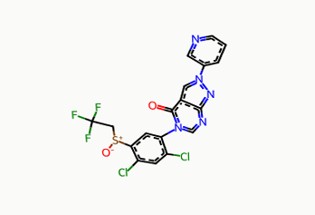 O=c1c2cn(-c3cccnc3)nc2ncn1-c1cc([S+]([O-])CC(F)(F)F)c(Cl)cc1Cl